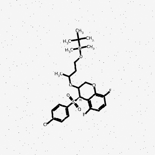 CC(CCO[Si](C)(C)C(C)(C)C)OC1COc2c(F)ccc(F)c2[C@H]1S(=O)(=O)c1ccc(Cl)cc1